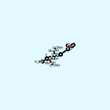 COC(=O)N[C@H](C(=O)N[C@@H](Cc1ccc(C#Cc2ccc(N3CC4CCC(C3)N4C(=O)[C@@H]3CCCO3)nc2)cc1)[C@@H](O)CN(Cc1c(F)cc(-c2ccn(C)n2)cc1F)NC(=O)[C@@H](NC(=O)OC)C(C)(C)C)C(C)(C)C